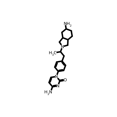 CC(Cc1ccc(-n2ccc(N)nc2=O)cc1)N1CC2CCC(N)CC2C1